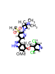 COc1cc2[nH]nc(-c3cnc(N4CC(C)(N(C)C)C4)c(S(C)(=O)=O)c3)c2cc1O[C@H](C)c1c(Cl)cncc1Cl